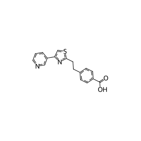 O=C(O)c1ccc(CCc2nc(-c3cccnc3)cs2)cc1